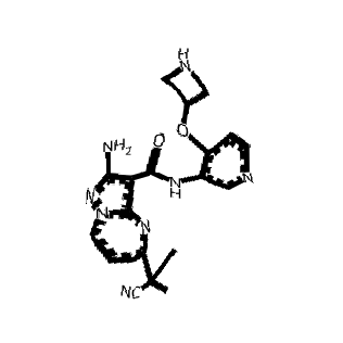 CC(C)(C#N)c1ccn2nc(N)c(C(=O)Nc3cnccc3OC3CNC3)c2n1